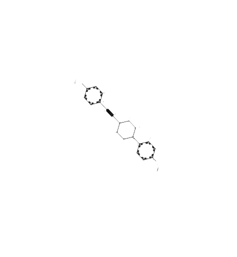 CCCc1ccc(C#CC2CCC(c3ccc(OCC)cc3)CC2)cc1